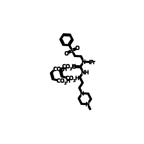 CC(C)N(CCS(=O)(=O)c1ccccc1)C(=O)NCCCN1CCN(C)CC1.O=C(O)/C=C\C(=O)O.O=C(O)/C=C\C(=O)O